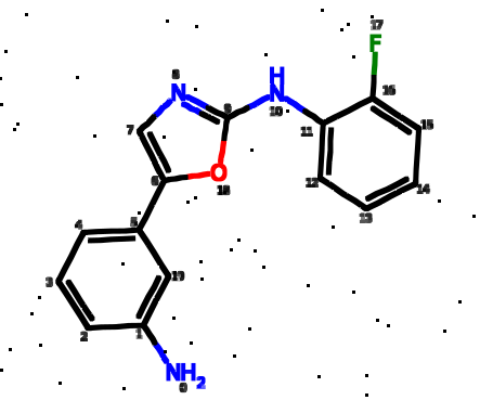 Nc1cccc(-c2cnc(Nc3ccccc3F)o2)c1